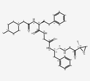 CN1CCN(CC(=O)N[C@@H](CCc2ccccc2)C(=O)NCC(=O)N[C@H](CNCC(=O)[C@@]2(C)CO2)Cc2ccccc2)CC1